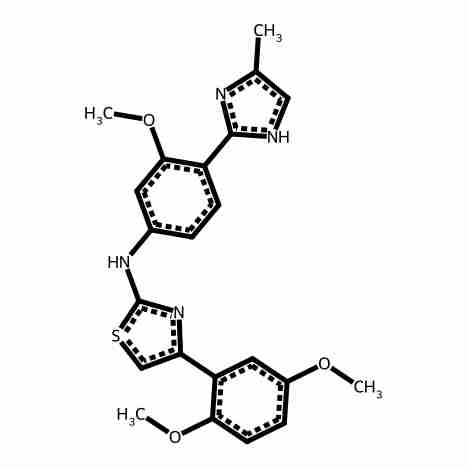 COc1ccc(OC)c(-c2csc(Nc3ccc(-c4nc(C)c[nH]4)c(OC)c3)n2)c1